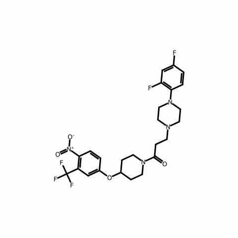 O=C(CCN1CCN(c2ccc(F)cc2F)CC1)N1CCC(Oc2ccc([N+](=O)[O-])c(C(F)(F)F)c2)CC1